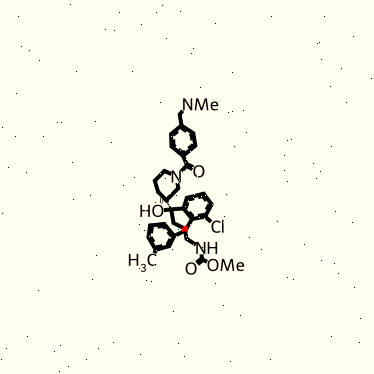 CNCc1ccc(C(=O)N2CCC[C@@H](C(O)(CCCNC(=O)OC)c3cccc(Cl)c3Cc3cccc(C)c3)C2)cc1